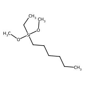 CCCCCC[Si](CC)(OC)OC